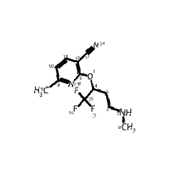 CNCCC(Oc1nc(C)ccc1C#N)C(F)(F)F